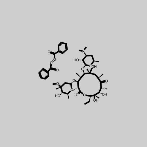 CC[C@H]1OC(=O)[C@H](C)[C@@H](O[C@H]2C[C@@](C)(OC)[C@@H](O)[C@H](C)O2)[C@@H](C)[C@@H](O[C@@H]2O[C@H](C)C[C@H](N(C)C)[C@H]2O)[C@](C)(O)C[C@@H](C)C(=O)[C@H](C)[C@H](O)[C@]1(C)O.O=C(OOC(=O)c1ccccc1)c1ccccc1